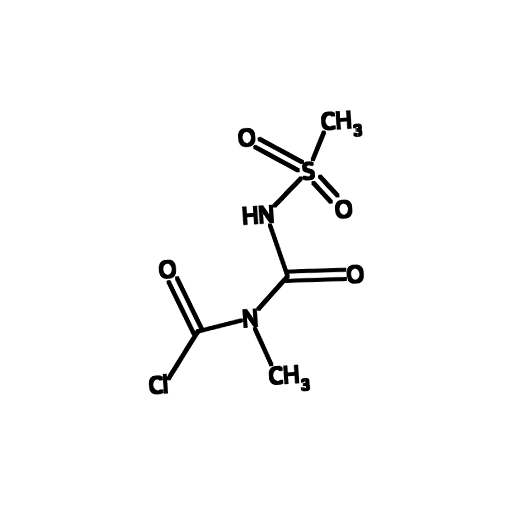 CN(C(=O)Cl)C(=O)NS(C)(=O)=O